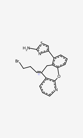 Nc1nc(-c2cccc3c2C/C(=C\CCBr)c2cccnc2O3)cs1